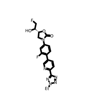 CCn1nnc(-c2ccc(-c3ccc(N4C[C@H](C(O)CF)OC4=O)cc3F)cn2)n1